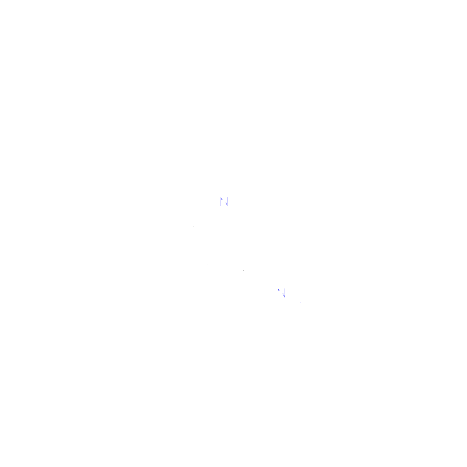 CN1c2ccccc2C(C)(N)c2ccccc21